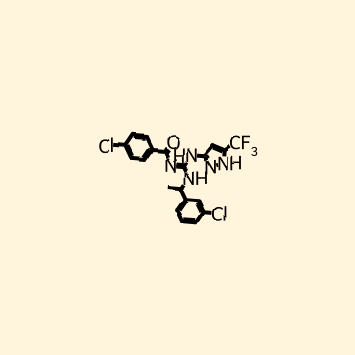 CC(N/C(=N/C(=O)c1ccc(Cl)cc1)Nc1cc(C(F)(F)F)[nH]n1)c1cccc(Cl)c1